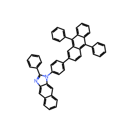 c1ccc(-c2c3ccccc3c(-c3ccccc3)c3cc(-c4ccc(-n5c(-c6ccccc6)nc6cc7ccccc7cc65)cc4)ccc23)cc1